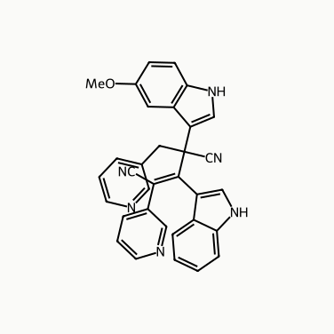 COc1ccc2[nH]cc(C(C#N)(Cc3cccnc3)/C(=C(\C#N)c3cccnc3)c3c[nH]c4ccccc34)c2c1